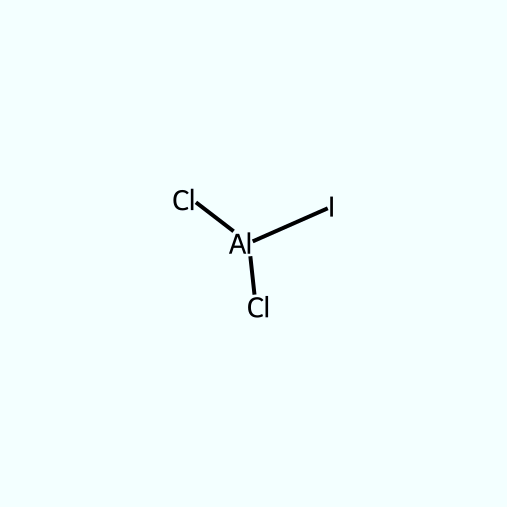 [Cl][Al]([Cl])[I]